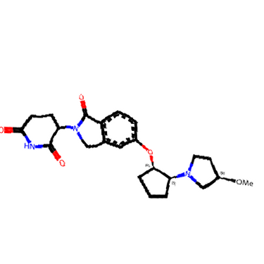 CO[C@@H]1CCN([C@H]2CCC[C@H]2Oc2ccc3c(c2)CN(C2CCC(=O)NC2=O)C3=O)C1